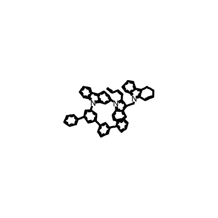 C=C/C=C\c1c(Cn2c3c(c4ccccc42)CCC=C3)c2ccccc2n1-c1ccc2c3ccccc3n(-c3cc(-c4ccccc4)cc(-c4cccc(-c5ccccc5)c4)c3)c2c1